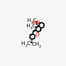 C=CC[C@@]12C(=CC(=O)C(=CC3=CC[C@@H](C(=C)C)CC3)[C@@H]1C)CCC[C@@H]2O